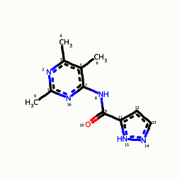 Cc1nc(C)c(C)c(NC(=O)c2ccn[nH]2)n1